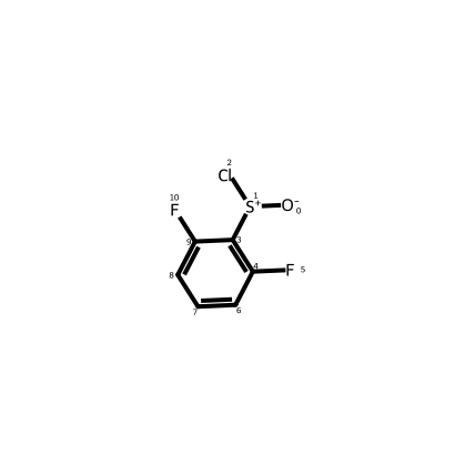 [O-][S+](Cl)c1c(F)cccc1F